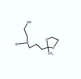 CCN(CCO)CCCC1(C)OCCO1